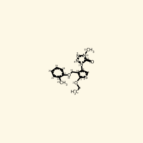 CCOc1scc(-n2nnn(C)c2=O)c1COc1ccccc1C